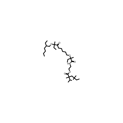 CCCCC(CC)COC(C)(CC)C(=O)CCCCCOC(C)(CC)C(=O)NCCOC(=O)C(C)(CC(C)(C)CC)C(C)C